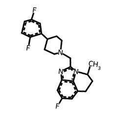 CC1CCc2cc(F)cc3nc(CN4CCC(c5cc(F)ccc5F)CC4)n1c23